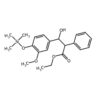 CCOC(=O)C(c1ccccc1)C(O)c1ccc(O[Si](C)(C)C)c(OC)c1